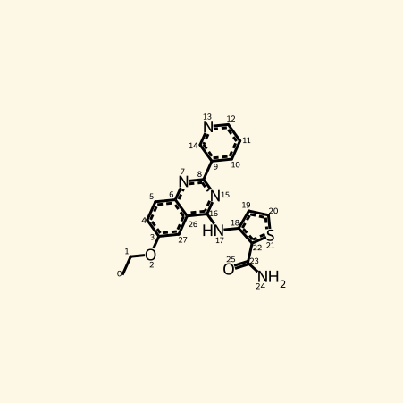 CCOc1ccc2nc(-c3cccnc3)nc(Nc3ccsc3C(N)=O)c2c1